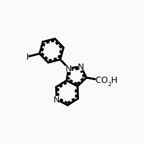 O=C(O)c1nn(-c2cccc(I)c2)c2cnccc12